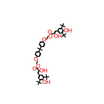 CC(C)(C)c1cc(C=C(O)C(=O)OCCOc2ccc(C(C)(C)c3ccc(OCCOC(=O)C(O)=Cc4cc(C(C)(C)C)c(O)c(C(C)(C)C)c4)cc3)cc2)cc(C(C)(C)C)c1O